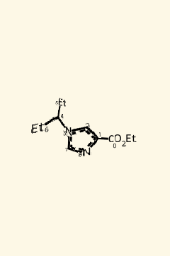 CCOC(=O)c1cn(C(CC)CC)cn1